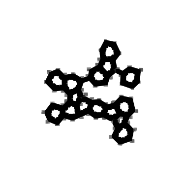 c1ccc(-n2c3ccccc3c3cc(-c4cc5ccccc5c5c6c7ccccc7cc7c8cc9c(cc8n(c45)c76)c4cccc5c6ccccc6n9c54)ccc32)cc1